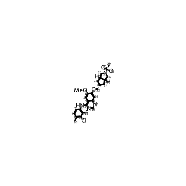 COc1cc2c(Nc3ccc(C)c(Cl)c3F)ncnc2cc1OC[C@@H]1C[C@@H]2CN(S(C)(=O)=O)C[C@@H]2C1